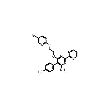 Cc1ccc(-c2c(N)nc(-c3ncccn3)nc2OCCOc2ncc(Br)cn2)cc1